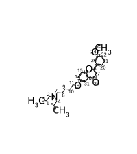 CCCN(CCC)CCCCCOc1ccc2oc(-c3cccc(OC)c3)cc(=O)c2c1